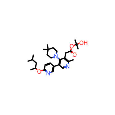 Cc1ncc(-c2ccc(OC(C)CC(C)C)nc2)c(N2CCC(C)(C)CC2)c1CC(=O)OC(C)(C)O